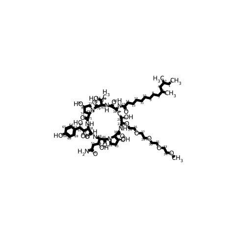 CCC(C)CC(C)CCCCCCCCC(=O)NC1C[C@@H](O)C(OCCOCCOCCOCCOC)NC(=O)C2[C@@H](O)CCN2C(=O)C([C@H](O)CC(N)=O)NC(=O)C([C@H](O)[C@@H](O)c2ccc(O)cc2)NC(=O)C2C[C@@H](O)CN2C(=O)C([C@@H](C)O)NC1=O